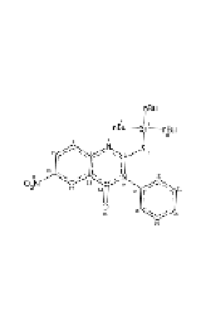 CCC[CH2][Sn]([CH2]CCC)([CH2]CCC)[S]c1nc2ccc([N+](=O)[O-])cc2c(=O)n1-c1ccccc1